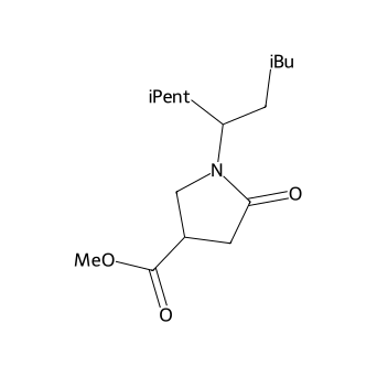 CCCC(C)C(CC(C)CC)N1CC(C(=O)OC)CC1=O